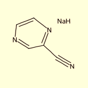 N#Cc1cnccn1.[NaH]